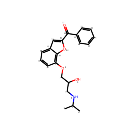 CC(C)NCC(O)COc1cccc2cc(C(=O)c3ccccc3)oc12